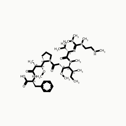 CC[C@H](C)[C@@H]([C@@H](CC(=O)N1CCC[C@H]1[C@H](OC)[C@@H](C)C(=O)N[C@@H](Cc1ccccc1)C(=O)O)OC)N(C)C(=O)[C@@H](N=C(N(C)C)N(C)CCNC)C(C)C